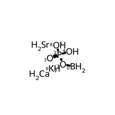 BOP(=O)(O)O.[CaH2].[KH].[SrH2]